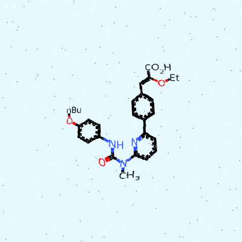 CCCCOc1ccc(NC(=O)N(C)c2cccc(-c3ccc(C=C(OCC)C(=O)O)cc3)n2)cc1